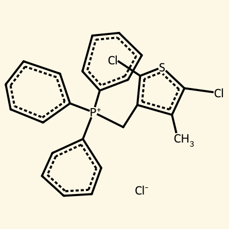 Cc1c(Cl)sc(Cl)c1C[P+](c1ccccc1)(c1ccccc1)c1ccccc1.[Cl-]